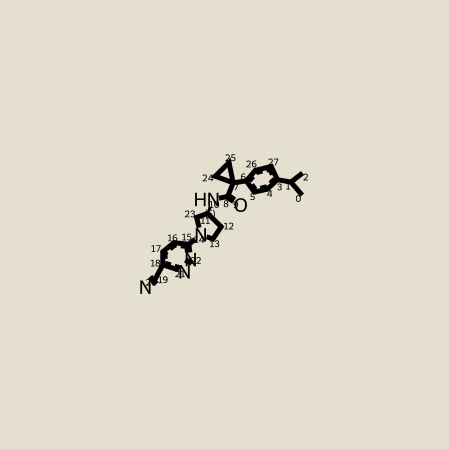 CC(C)c1ccc(C2(C(=O)N[C@H]3CCN(c4ccc(C#N)nn4)C3)CC2)cc1